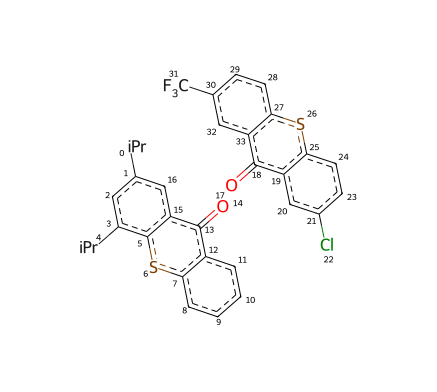 CC(C)c1cc(C(C)C)c2sc3ccccc3c(=O)c2c1.O=c1c2cc(Cl)ccc2sc2ccc(C(F)(F)F)cc12